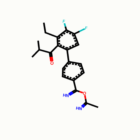 CCc1c(F)c(F)cc(-c2ccc(C(=N)OC(C)=N)cc2)c1C(=O)C(C)C